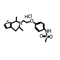 CC1Cc2ccsc2C(C)N1CCOc1ccc(NS(C)(=O)=O)cc1.Cl